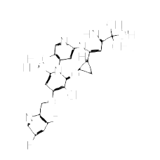 Cc1cnc(N/C(=C\C(=N)C(C)(C)O)C2CC2)cc1-n1c(C)cc(OCc2ncc(F)cc2F)c(Cl)c1=O